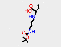 CC[C@@H](CNCCCCNC(=O)OC(C)(C)C)C(=O)O